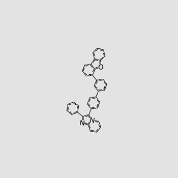 c1ccc(-c2nc3ccccn3c2-c2ccc(-c3cccc(-c4cccc5c4oc4ccccc45)c3)cc2)cc1